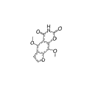 COc1c2occc2c(OC)c2c(=O)[nH]c(=O)oc12